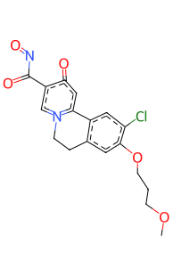 COCCCOc1cc2c(cc1Cl)-c1cc(=O)c(C(=O)N=O)cn1CC2